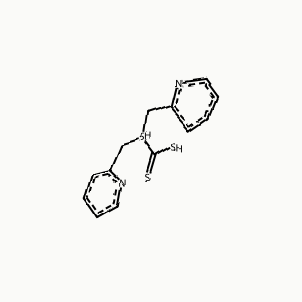 S=C(S)[SH](Cc1ccccn1)Cc1ccccn1